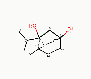 CC(C)C1(O)CC2(O)CCC1(C)CC2